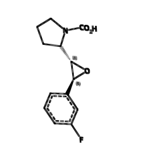 O=C(O)N1CCCC1[C@@H]1O[C@H]1c1cccc(F)c1